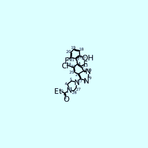 CCC(=O)N1CCN(c2ncnc3c(F)c(-c4c(O)cccc4F)c(Cl)cc23)CC1